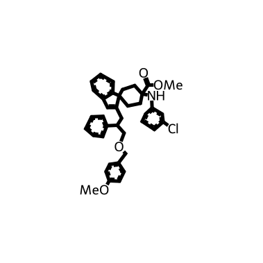 COC(=O)C1(Nc2cccc(Cl)c2)CCC2(CC1)C(CC(COCc1ccc(OC)cc1)c1ccccc1)=Cc1ccccc12